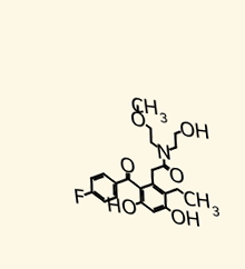 CCc1c(O)cc(O)c(C(=O)c2ccc(F)cc2)c1CC(=O)N(CCO)CCOC